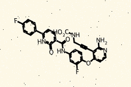 Nc1nccc(Oc2ccc(NC(=O)c3ccc(-c4ccc(F)cc4)[nH]c3=O)cc2F)c1C#CCNC(=O)O